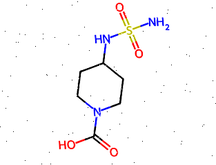 NS(=O)(=O)NC1CCN(C(=O)O)CC1